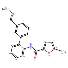 CO/N=C/c1cccc(-c2ccccc2NC(=O)c2ccc([N+](=O)[O-])o2)c1